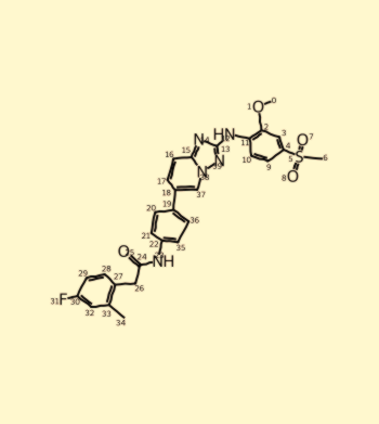 COc1cc(S(C)(=O)=O)ccc1Nc1nc2ccc(-c3ccc(NC(=O)Cc4ccc(F)cc4C)cc3)cn2n1